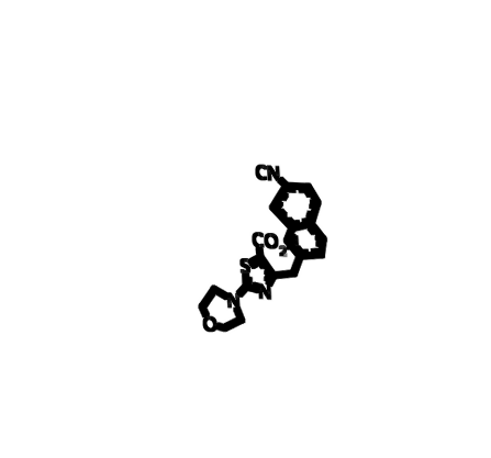 [C-]#[N+]c1ccc2ccc(Cc3nc(N4CCOCC4)sc3C(=O)O)cc2c1